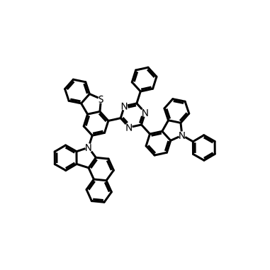 c1ccc(-c2nc(-c3cc(-n4c5ccccc5c5c6ccccc6ccc54)cc4c3sc3ccccc34)nc(-c3cccc4c3c3ccccc3n4-c3ccccc3)n2)cc1